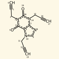 C#CCn1c(=O)c2c(ncn2CC#C)n(CC#C)c1=O